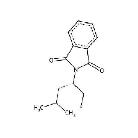 CC(C)C[C@@H](CF)N1C(=O)c2ccccc2C1=O